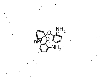 CCCC1C=CC=CC1(Oc1ccccc1N)Oc1ccccc1N